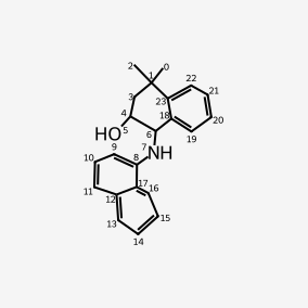 CC1(C)CC(O)C(Nc2cccc3ccccc23)c2ccccc21